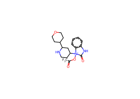 O=C(O[N+]1(C2CCNC(C3CCOCC3)C2)C(=O)Nc2ccccc21)C(F)(F)F